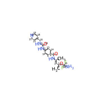 C=C(/C=C(\C)NC(=O)c1ccc(NC(=O)NCc2ccncc2)cc1)OC(N)(F)F